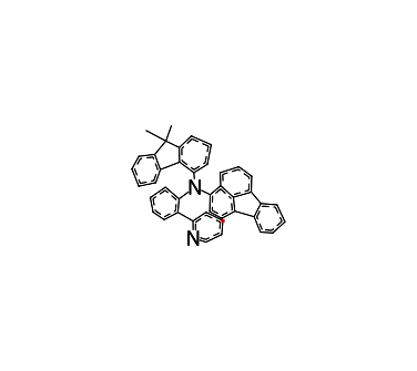 CC1(C)c2ccccc2-c2c(N(c3ccccc3-c3ccccn3)c3ccc4c5c(cccc35)-c3ccccc3-4)cccc21